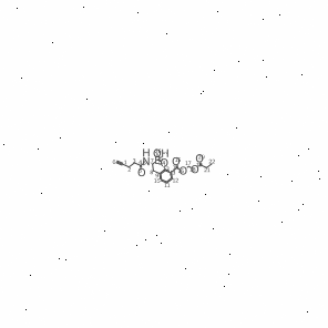 C#CCCC(=O)N[C@H]1Cc2cccc(C(=O)OCOC(=O)CC)c2OB1O